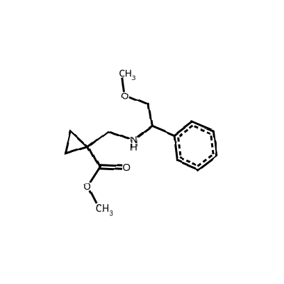 COCC(NCC1(C(=O)OC)CC1)c1ccccc1